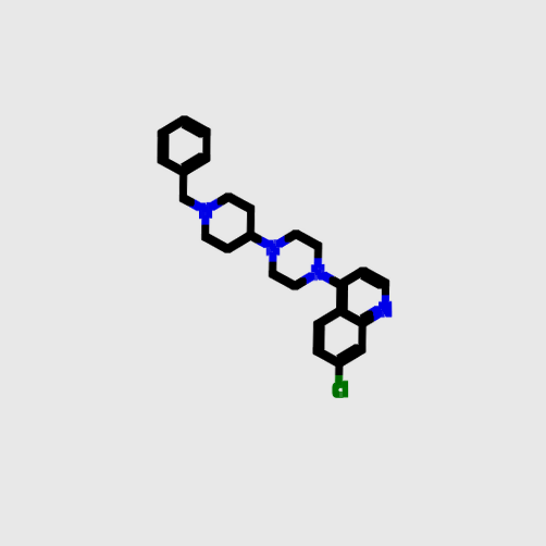 Clc1ccc2c(N3CCN(C4CCN(Cc5ccccc5)CC4)CC3)ccnc2c1